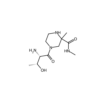 CNC(=O)C1(C)CN(C(=O)[C@@H](N)[C@@H](C)O)CCN1